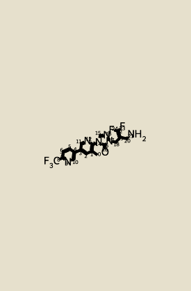 Cc1cc(-c2ccc(C(F)(F)F)nc2)cnc1-n1cnn(CC(CN)=C(F)F)c1=O